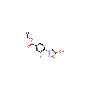 CCOC(=O)c1ccc(-[n+]2cc(O)on2)c(F)c1